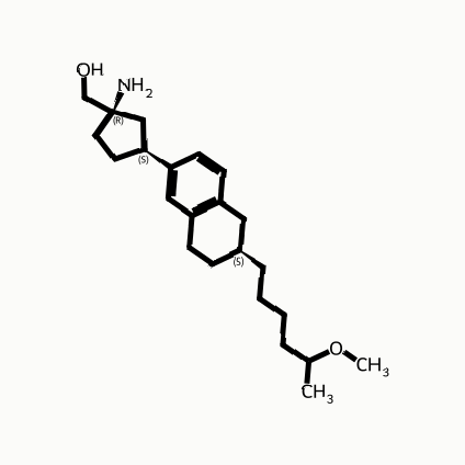 COC(C)CCCC[C@H]1CCc2cc([C@H]3CC[C@](N)(CO)C3)ccc2C1